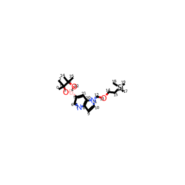 CC1(C)OB(c2cnc3ccn(COCC[Si](C)(C)C)c3c2)OC1(C)C